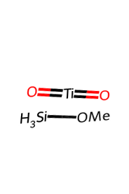 CO[SiH3].[O]=[Ti]=[O]